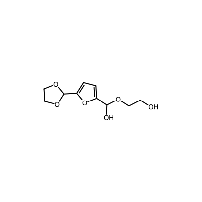 OCCOC(O)c1ccc(C2OCCO2)o1